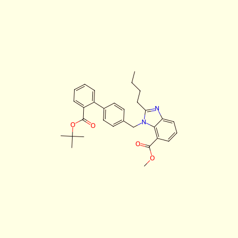 CCCCc1nc2cccc(C(=O)OC)c2n1Cc1ccc(-c2ccccc2C(=O)OC(C)(C)C)cc1